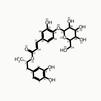 C[C@@H](Cc1ccc(O)c(O)c1)OC(=O)/C=C/c1ccc(OC2OC(CO)C(O)C(O)C2O)c(O)c1